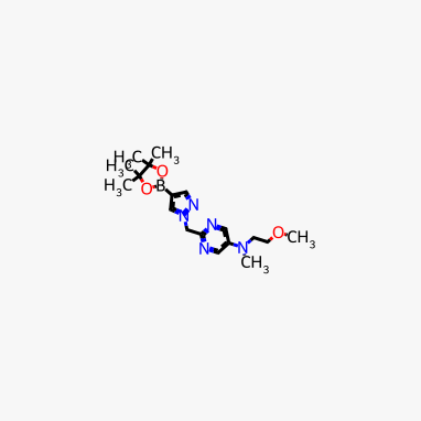 COCCN(C)c1cnc(Cn2cc(B3OC(C)(C)C(C)(C)O3)cn2)nc1